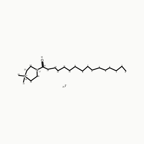 CCCCCCCCCCCCCCCC(=O)N1CC[N+](C)(C)CC1.[I-]